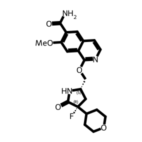 COc1cc2c(OC[C@@H]3C[C@@](F)(C4CCOCC4)C(=O)N3)nccc2cc1C(N)=O